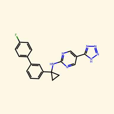 Fc1ccc(-c2cccc(C3(Nc4ncc(-c5nnn[nH]5)cn4)CC3)c2)cc1